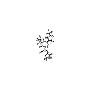 CC(C)(C)[C@H](NC(=O)C(F)(F)F)C(=O)N1C[C@H]2[C@@H]([C@H]1C(=O)N[C@H](C#N)C[C@@H]1CC3(CC3)NC1=O)C2(C)C